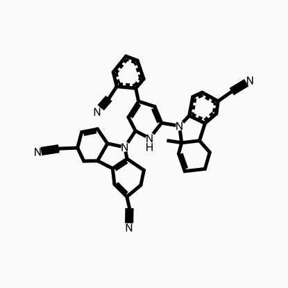 CC12C=CCCC1c1cc(C#N)ccc1N2C1=CC(c2ccccc2C#N)=CC(N2C3=C(C=C(C#N)CC3)C3CC(C#N)C=CC32)N1